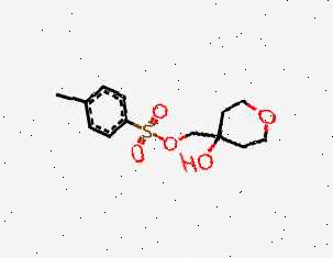 Cc1ccc(S(=O)(=O)OCC2(O)CCOCC2)cc1